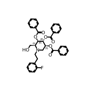 O=C(O[C@H]1[C@H](OC(=O)c2ccccc2)[C@H](CO)N(CCc2ccccc2F)C[C@@H]1OC(=O)c1ccccc1)c1ccccc1